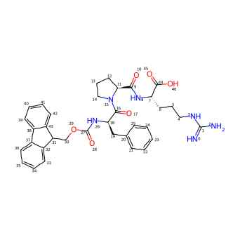 N=C(N)NCCC[C@H](NC(=O)[C@@H]1CCCN1C(=O)[C@@H](Cc1ccccc1)NC(=O)OCC1c2ccccc2-c2ccccc21)C(=O)O